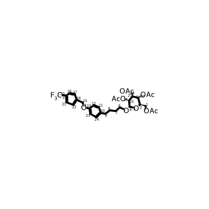 CC(=O)OC[C@H]1O[C@@H](OCCCCc2ccc(OCc3ccc(C(F)(F)F)cc3)cc2)[C@H](OC(C)=O)[C@@H](OC(C)=O)[C@@H]1OC(C)=O